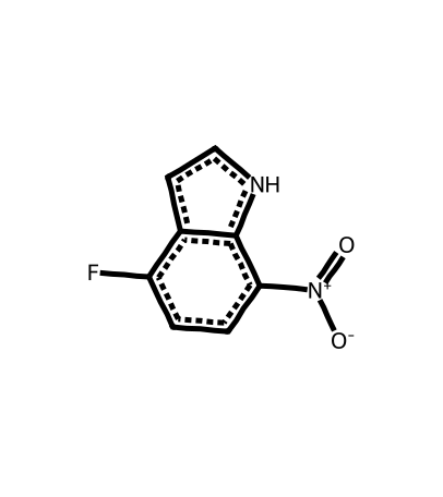 O=[N+]([O-])c1ccc(F)c2cc[nH]c12